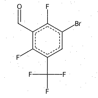 O=Cc1c(F)c(Br)cc(C(F)(F)F)c1F